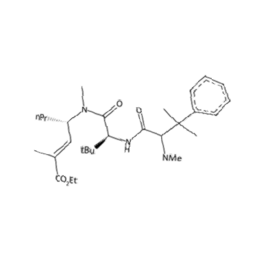 CCC[C@@H](C=C(C)C(=O)OCC)N(C)C(=O)[C@@H](NC(=O)C(NC)C(C)(C)c1ccccc1)C(C)(C)C